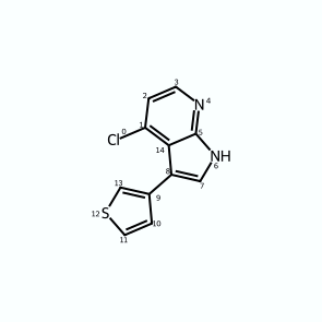 Clc1ccnc2[nH]cc(-c3ccsc3)c12